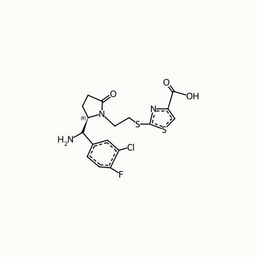 NC(c1ccc(F)c(Cl)c1)[C@H]1CCC(=O)N1CCSc1nc(C(=O)O)cs1